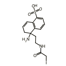 NC1(CCNC(=O)CI)CC=Cc2c1cccc2S(=O)(=O)O